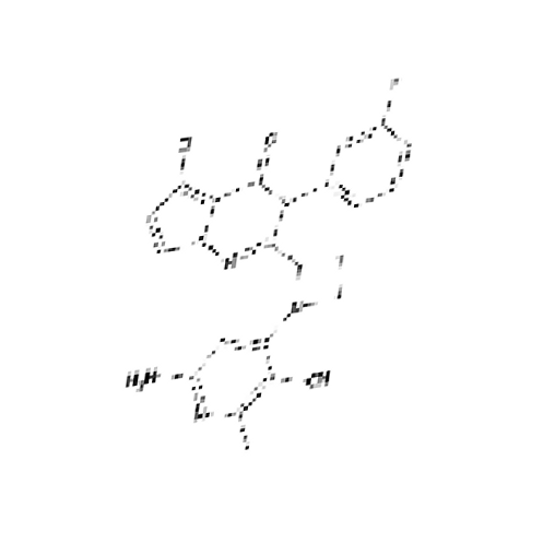 Cc1nc(N)nc(N2CCC2c2nn3ccc(Cl)c3c(=O)n2-c2cccc(F)c2)c1C#N